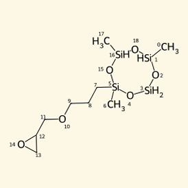 C[SiH]1O[SiH2]O[Si](C)(CCCOCC2CO2)O[SiH](C)O1